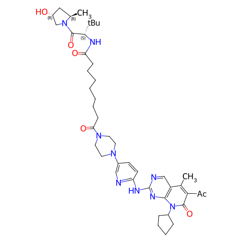 CC(=O)c1c(C)c2cnc(Nc3ccc(N4CCN(C(=O)CCCCCCCC(=O)N[C@H](C(=O)N5C[C@H](O)C[C@H]5C)C(C)(C)C)CC4)cn3)nc2n(C2CCCC2)c1=O